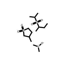 CC1CCS(=O)(=O)C1.CCC(C)S(=O)(=O)C(C)C.C[S+](C)[O-]